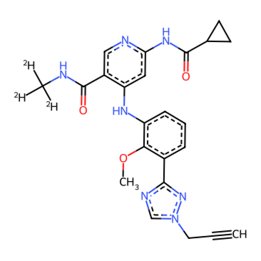 [2H]C([2H])([2H])NC(=O)c1cnc(NC(=O)C2CC2)cc1Nc1cccc(-c2ncn(CC#C)n2)c1OC